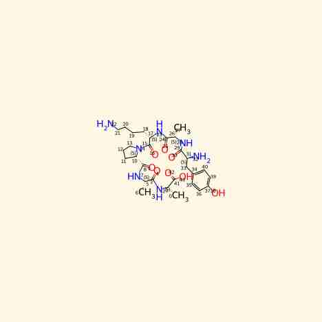 C[C@H](NC(=O)[C@H](C)NC(=O)[C@@H]1CCCN1C(=O)[C@H](CCCCN)NC(=O)[C@H](C)NC(=O)[C@@H](N)Cc1ccc(O)cc1)C(=O)O